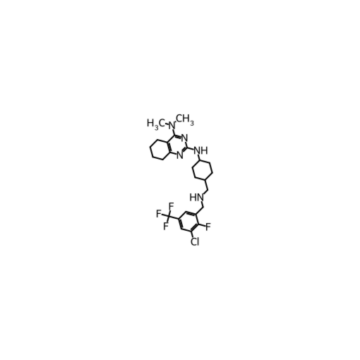 CN(C)c1nc(NC2CCC(CNCc3cc(C(F)(F)F)cc(Cl)c3F)CC2)nc2c1CCCC2